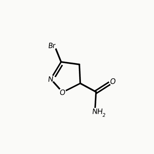 NC(=O)C1CC(Br)=NO1